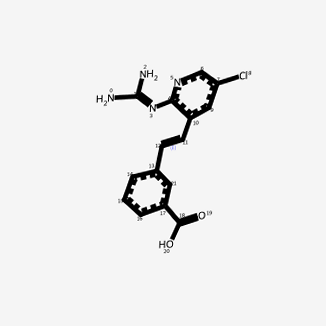 NC(N)=Nc1ncc(Cl)cc1/C=C/c1cccc(C(=O)O)c1